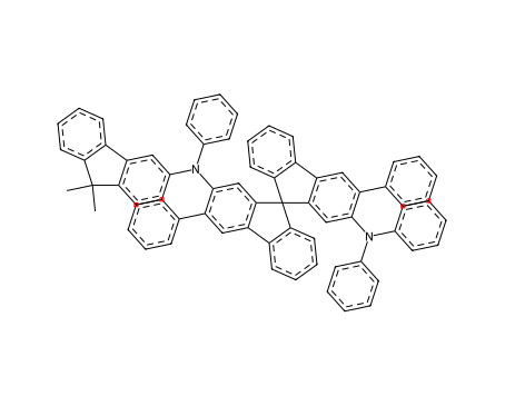 CC1(C)c2ccccc2-c2cc(N(c3ccccc3)c3cc4c(cc3-c3ccccc3)-c3ccccc3C43c4ccccc4-c4cc(-c5ccccc5)c(N(c5ccccc5)c5ccccc5)cc43)ccc21